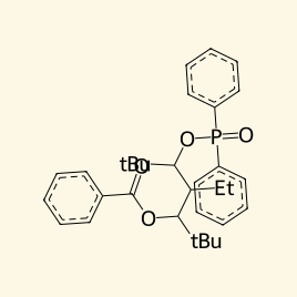 CCC(C(OC(=O)c1ccccc1)C(C)(C)C)C(OP(=O)(c1ccccc1)c1ccccc1)C(C)(C)C